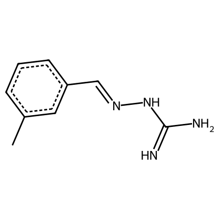 Cc1cccc(C=NNC(=N)N)c1